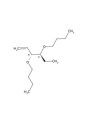 C=C[C@@H](OCCCC)[C@H](CC)OCCCC